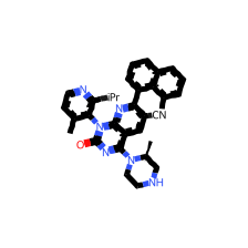 Cc1ccnc(C(C)C)c1-n1c(=O)nc(N2CCNC[C@@H]2C)c2cc(C#N)c(-c3cccc4cccc(C)c34)nc21